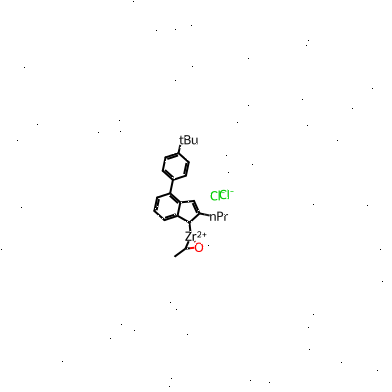 CCCC1=Cc2c(-c3ccc(C(C)(C)C)cc3)cccc2[CH]1[Zr+2]1[O][CH]1C.[Cl-].[Cl-]